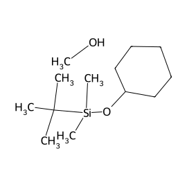 CC(C)(C)[Si](C)(C)OC1CCCCC1.CO